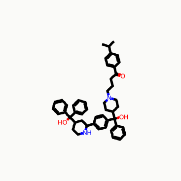 CC(C)c1ccc(C(=O)CCCN2CCC(C(O)(c3ccccc3)c3ccc(C4CC(C(O)(c5ccccc5)c5ccccc5)CCN4)cc3)CC2)cc1